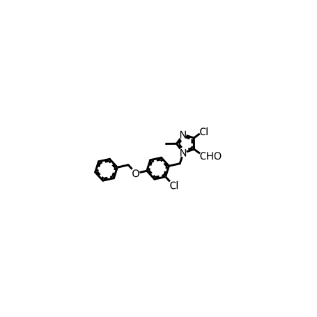 Cc1nc(Cl)c(C=O)n1Cc1ccc(OCc2ccccc2)cc1Cl